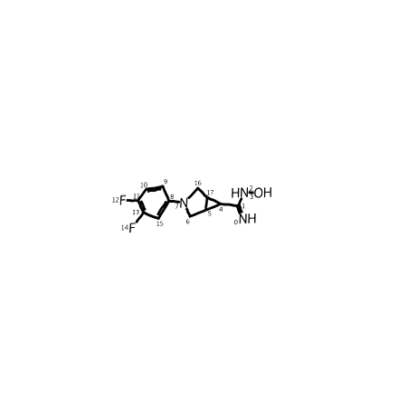 N=C(NO)C1C2CN(c3ccc(F)c(F)c3)CC21